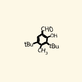 Cc1c(C(C)(C)C)cc(C=O)c(O)c1C(C)(C)C